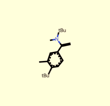 C=C(c1ccc(C(C)(C)C)c(C)c1)N(C)C(C)(C)C